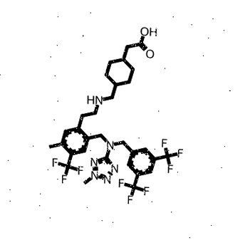 Cc1cc(CCNCC2CCC(CC(=O)O)CC2)c(CN(Cc2cc(C(F)(F)F)cc(C(F)(F)F)c2)c2nnn(C)n2)cc1C(F)(F)F